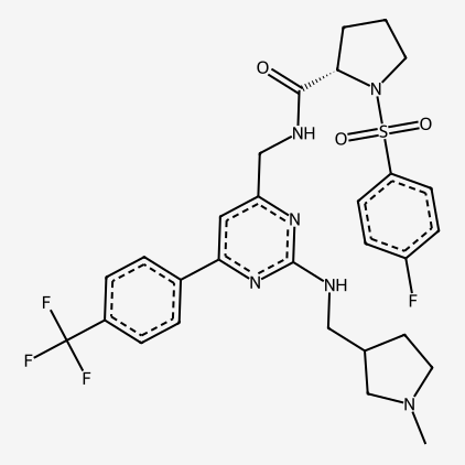 CN1CCC(CNc2nc(CNC(=O)[C@@H]3CCCN3S(=O)(=O)c3ccc(F)cc3)cc(-c3ccc(C(F)(F)F)cc3)n2)C1